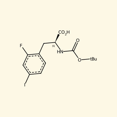 CC(C)(C)OC(=O)N[C@@H](Cc1ccc(I)cc1F)C(=O)O